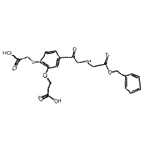 O=C(O)COc1ccc(C(=O)CNCC(=O)OCc2ccccc2)cc1OCC(=O)O